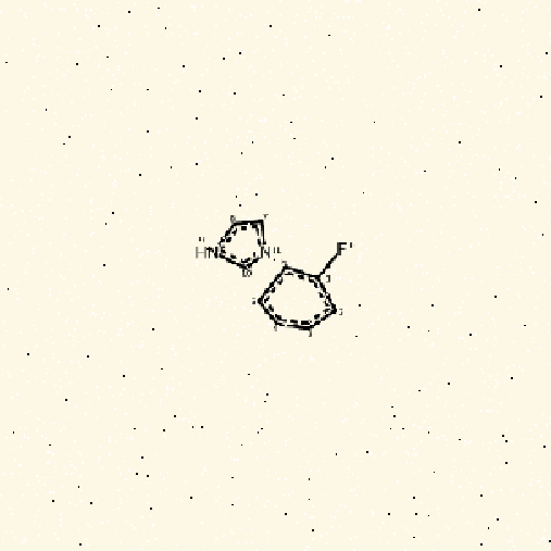 Fc1ccccc1.c1c[nH]cn1